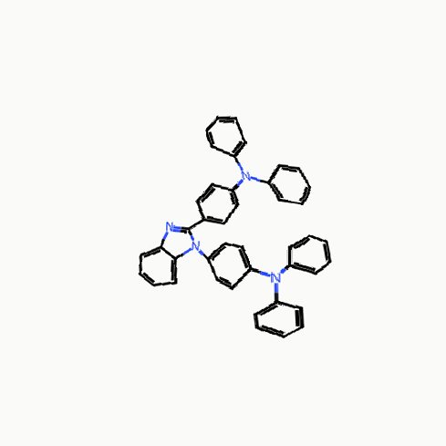 c1ccc(N(c2ccccc2)c2ccc(-c3nc4ccccc4n3-c3ccc(N(c4ccccc4)c4ccccc4)cc3)cc2)cc1